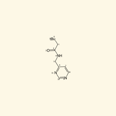 CC(C)(C)CC(=O)NCc1ccncn1